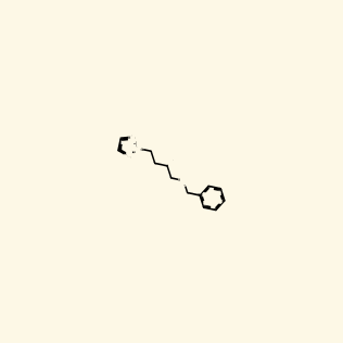 F[C@@H](CCn1nccn1)COCc1ccccc1